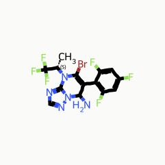 C[C@H](N1C(Br)=C(c2c(F)cc(F)cc2F)C(N)n2ncnc21)C(F)(F)F